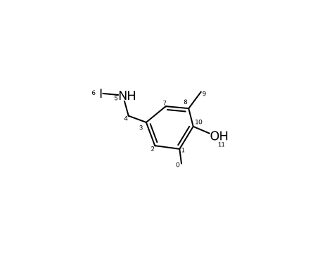 Cc1cc(CNI)cc(C)c1O